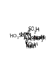 O=S(=O)(O)c1ccc(-c2c3nc(c(-c4ccc(S(=O)(=O)O)cc4)c4ccc([nH]4)c(-c4ccc(S(=O)(=O)O)cc4)c4nc(c(-c5ccc(S(=O)(=O)O)cc5)c5ccc2[nH]5)C=C4)C=C3)cc1.[NaH].[NaH].[NaH].[NaH]